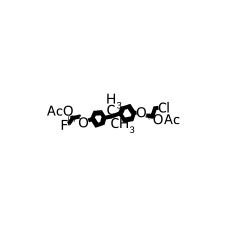 CC(=O)O[C@H](CF)COc1ccc(C(C)(C)c2ccc(OC[C@@H](CCl)OC(C)=O)cc2)cc1